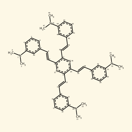 CN(C)c1cccc(C=Cc2nc(C=Cc3cccc(N(C)C)c3)c(C=Cc3cccc(N(C)C)c3)nc2C=Cc2cccc(N(C)C)c2)c1